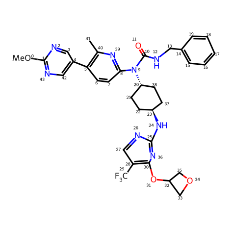 COc1ncc(-c2ccc(N(C(=O)NCc3ccccc3)[C@H]3CC[C@H](Nc4ncc(C(F)(F)F)c(OC5COC5)n4)CC3)nc2C)cn1